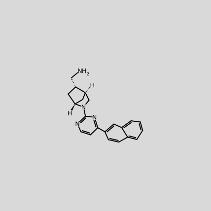 NC[C@H]1C[C@@H]2C[C@@H]1CN2c1nccc(-c2ccc3ccccc3c2)n1